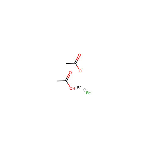 CC(=O)O.CC(=O)[O-].[Br-].[K+].[K+]